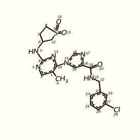 Cc1cnc(NC2CCS(=O)(=O)C2)nc1-n1cnc(C(=O)NCc2cccc(Cl)c2)c1